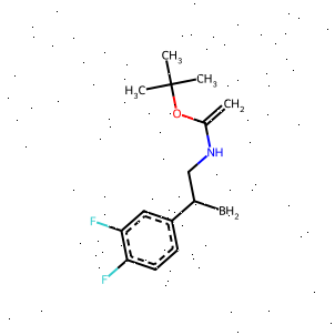 BC(CNC(=C)OC(C)(C)C)c1ccc(F)c(F)c1